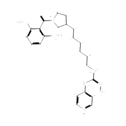 COc1cccc(OC)c1C(=O)N1CCC(CCCCCCNC(=NC#N)Nc2ccncc2)C1